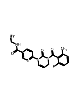 CC(C)CNC(=O)c1ccc(N2C=CCN(C(=O)c3c(F)cccc3C(F)(F)F)C2=O)nc1